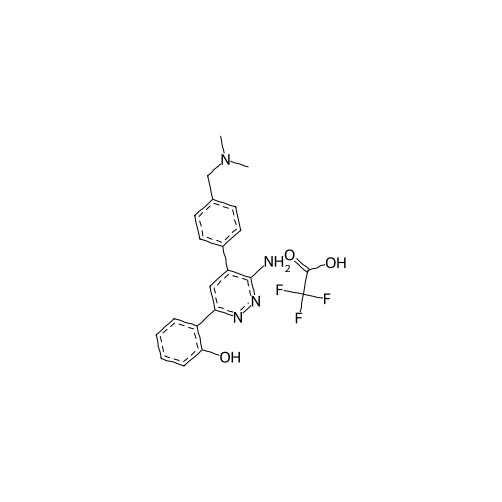 CN(C)Cc1ccc(-c2cc(-c3ccccc3O)nnc2N)cc1.O=C(O)C(F)(F)F